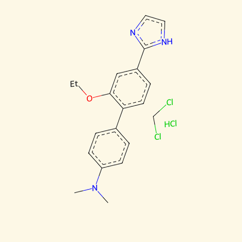 CCOc1cc(-c2ncc[nH]2)ccc1-c1ccc(N(C)C)cc1.Cl.ClCCl